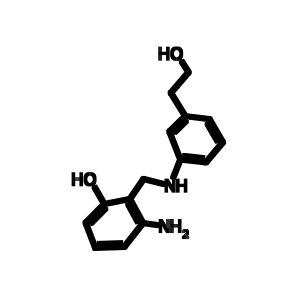 Nc1cccc(O)c1CNc1cccc(CCO)c1